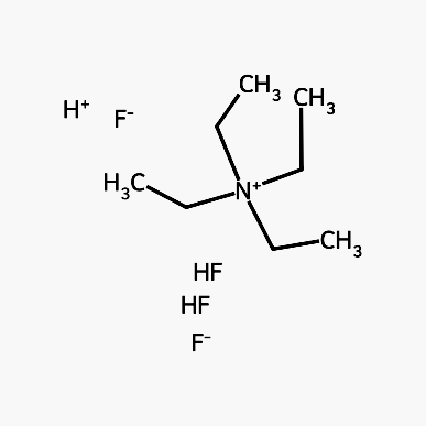 CC[N+](CC)(CC)CC.F.F.[F-].[F-].[H+]